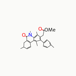 COC(=O)Cc1c(-c2ccc(C)cc2)c(C)c2c3c(c(=O)n(C)c2c1C)CC(C)C=C3